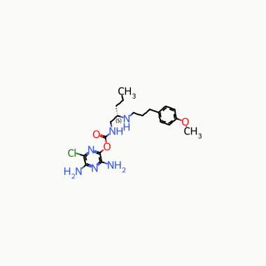 CCC[C@@H](CNC(=O)Oc1nc(Cl)c(N)nc1N)NCCCc1ccc(OC)cc1